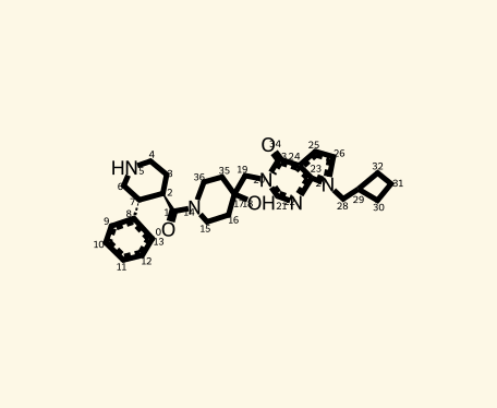 O=C([C@@H]1CCNC[C@H]1c1ccccc1)N1CCC(O)(Cn2cnc3c(ccn3CC3CCC3)c2=O)CC1